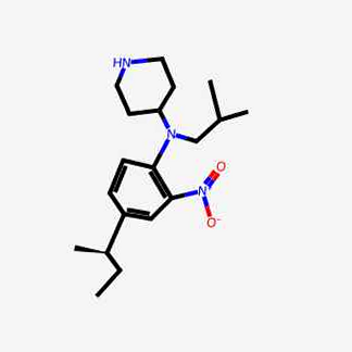 CC[C@@H](C)c1ccc(N(CC(C)C)C2CCNCC2)c([N+](=O)[O-])c1